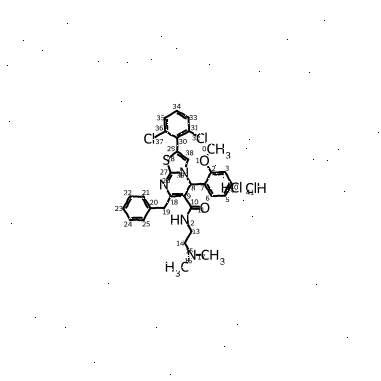 COc1ccccc1C1C(C(=O)NCCN(C)C)=C(Cc2ccccc2)N=C2SC(c3c(Cl)cccc3Cl)=CN21.Cl.Cl